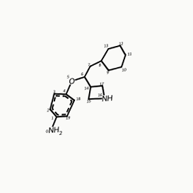 Nc1ccc(OC(CC2CCCCC2)C2CNC2)cc1